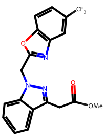 COC(=O)Cc1nn(Cc2nc3cc(C(F)(F)F)ccc3o2)c2ccccc12